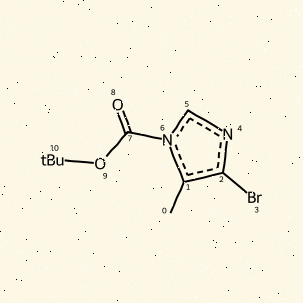 Cc1c(Br)ncn1C(=O)OC(C)(C)C